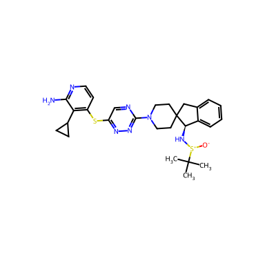 CC(C)(C)[S+]([O-])N[C@@H]1c2ccccc2CC12CCN(c1ncc(Sc3ccnc(N)c3C3CC3)nn1)CC2